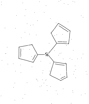 C1=CCC([Si](C2=CC=CC2)C2=CC=CC2)=C1